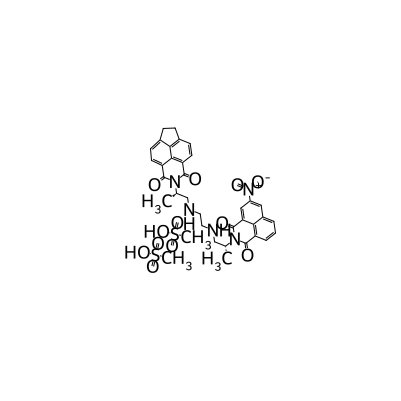 CS(=O)(=O)O.CS(=O)(=O)O.C[C@H](CNCCNC[C@@H](C)N1C(=O)c2ccc3c4c(ccc(c24)C1=O)CC3)N1C(=O)c2cccc3cc([N+](=O)[O-])cc(c23)C1=O